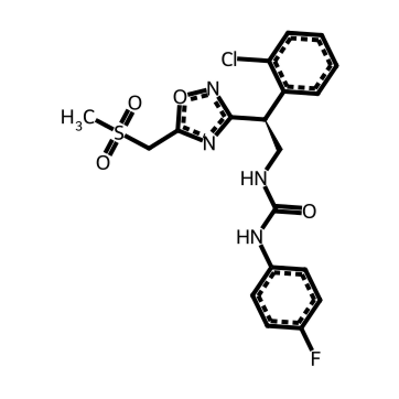 CS(=O)(=O)Cc1nc([C@H](CNC(=O)Nc2ccc(F)cc2)c2ccccc2Cl)no1